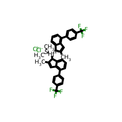 CC1=Cc2c(-c3ccc(C(F)(F)F)cc3)cccc2[CH]1[Hf+2]([CH]1C(C)=Cc2c(-c3ccc(C(F)(F)F)cc3)cccc21)=[Si](C)C.[Cl-].[Cl-]